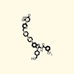 O=C1CCN(c2ccc(CN3CCC(N4CCN(c5ccc6c(c5)nc(NC(=O)c5cccc(C(F)(F)F)c5)n6C5CCC(CO)CC5)CC4)CC3)nc2)C(=O)N1